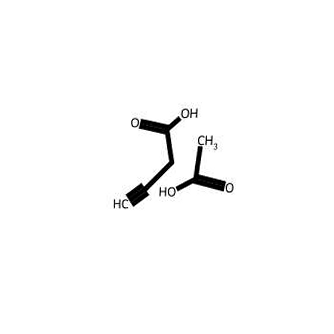 C#CCC(=O)O.CC(=O)O